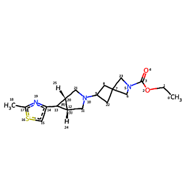 CCOC(=O)N1CC2(CC(N3C[C@@H]4C(c5csc(C)n5)[C@@H]4C3)C2)C1